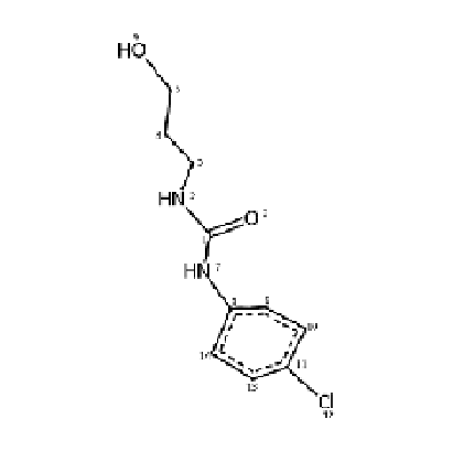 O=C(NCCCO)Nc1ccc(Cl)cc1